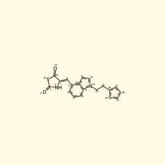 O=C1NC(=Cc2cccc3c2ccn3CCc2cccs2)C(=O)S1